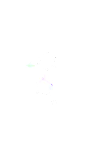 CC1=NN(c2ccccc2Cl)CC1